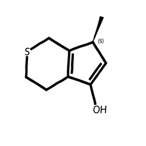 C[C@H]1C=C(O)C2=C1CSCC2